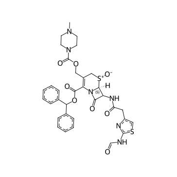 CN1CCN(C(=O)OCC2=C(C(=O)OC(c3ccccc3)c3ccccc3)N3C(=O)C(NC(=O)Cc4csc(NC=O)n4)[C@@H]3[S+]([O-])C2)CC1